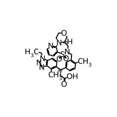 CCn1nnc2c(C)c([C@H](CC(=O)O)c3ccc(C)c(CN4C[C@@H]5COCCN5c5ncccc5S4(=O)=O)c3)ccc21